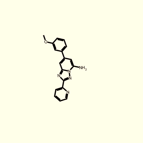 COc1cccc(-c2cc(N)n3nc(-c4ccccn4)nc3c2)c1